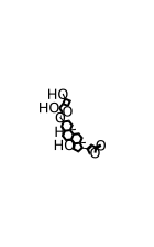 C[C@]12CC[C@H](O[C@H]3OC4C[C@H](O)C4C3O)C[C@H]1CCC1C2CC[C@]2(C)[C@@H](C3=CC(=O)OC3)CC[C@]12O